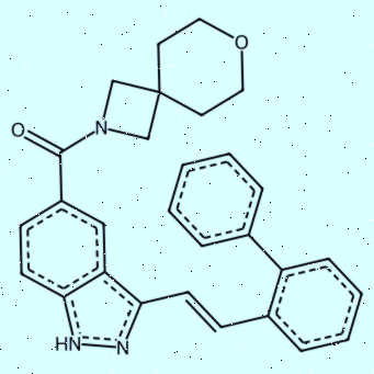 O=C(c1ccc2[nH]nc(C=Cc3ccccc3-c3ccccc3)c2c1)N1CC2(CCOCC2)C1